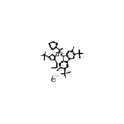 CCCC1C=C(C(C)(C)C)C=[C]1/[Zr+2](=[C](/C)c1ccccc1)[CH]1c2cc(C)c(C(C)(C)C)cc2-c2cc(C(C)(C)C)c(C)cc21.[Cl-].[Cl-]